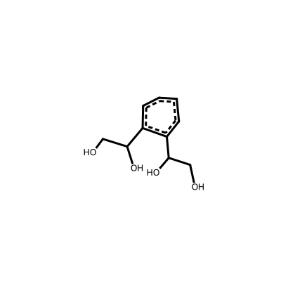 OCC(O)c1ccccc1C(O)CO